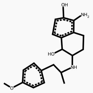 COc1ccc(CC(C)NC2CCc3c(ccc(O)c3N)C2O)cc1